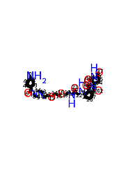 Nc1ccc(C(=O)N2CCN(CCOCCOCCNC(=O)CNc3cccc4c3C(=O)N(C3CCC(=O)NC3=O)C4=O)CC2)cc1